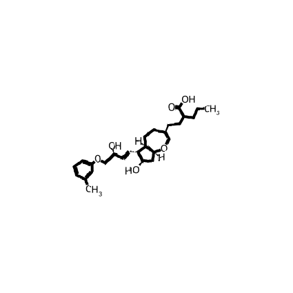 CCCC(CC[C@@H]1CC[C@@H]2[C@@H](C=C[C@@H](O)COc3cccc(C)c3)[C@H](O)C[C@@H]2OC1)C(=O)O